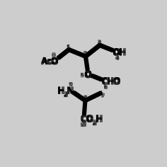 CC(=O)OCC(CO)OC=O.CC(N)C(=O)O